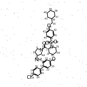 N[C@H]1CCN(C(=O)[C@@H]2C[C@@H](Oc3ccc(-c4ccc(Cl)cc4)cc3)CCN2S(=O)(=O)c2ccc(OCC3CCCCC3)cc2)C1